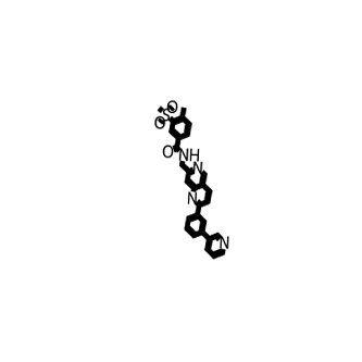 Cc1ccc(C(=O)NCc2cc3nc(-c4cccc(-c5cccnc5)c4)ccc3cn2)cc1S(C)(=O)=O